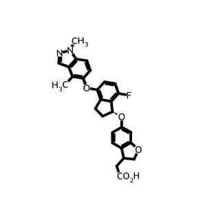 Cc1c(Oc2ccc(F)c3c2CC[C@H]3Oc2ccc3c(c2)OCC3CC(=O)O)ccc2c1cnn2C